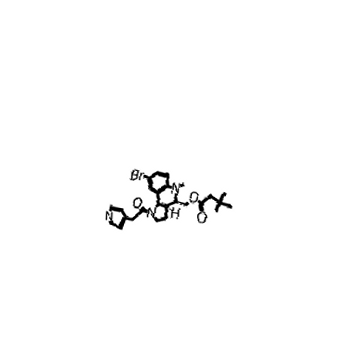 CN1c2ccc(Br)cc2C2[C@H](CCN2C(=O)Cc2ccncc2)[C@@H]1COC(=O)CC(C)(C)C